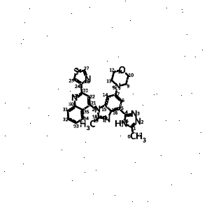 Cc1nnc(-c2cc(N3CCOCC3)cc3c2nc(C)n3-c2cc(-c3cscn3)nc3ccccc23)[nH]1